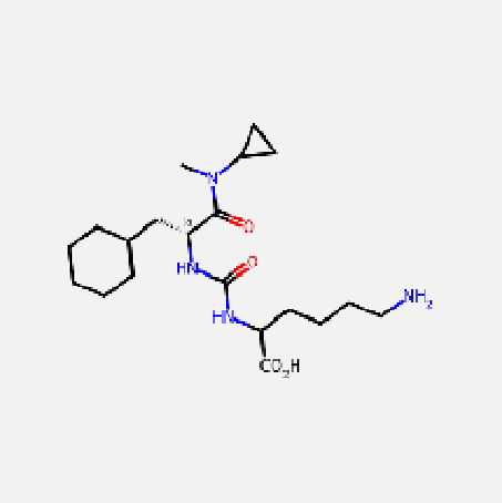 CN(C(=O)[C@@H](CC1CCCCC1)NC(=O)NC(CCCCN)C(=O)O)C1CC1